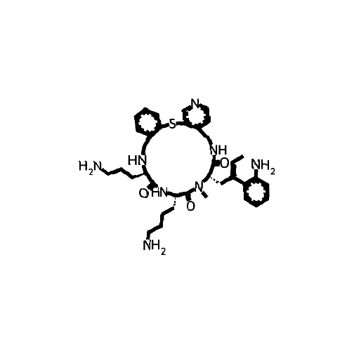 C/C=C(/C[C@H]1C(=O)NCc2ccncc2Sc2ccccc2CN[C@H](CCCN)C(=O)N[C@@H](CCCCN)C(=O)N1C)c1ccccc1N